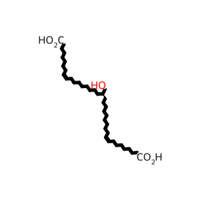 O=C(O)CCCCCCC/C=C\CCCCCCCCC[C@H](CO)CCCCCCCC/C=C\CCCCCCCC(=O)O